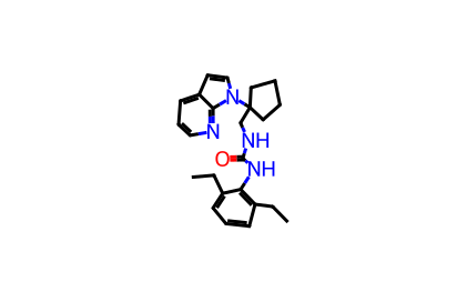 CCc1cccc(CC)c1NC(=O)NCC1(n2ccc3cccnc32)CCCC1